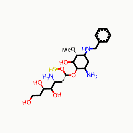 CO[C@@H]1C(NCc2ccccc2)CC(N)[C@@H](O[C@H](C[C@@H](N)C(O)[C@H](O)CCO)OS)C1O